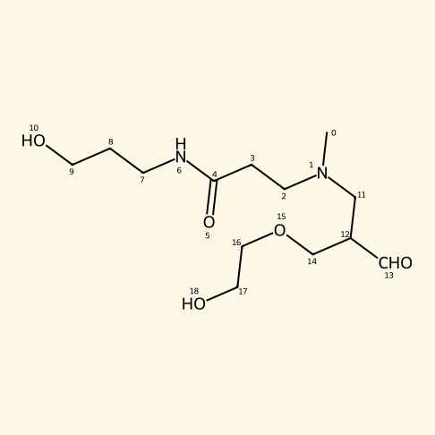 CN(CCC(=O)NCCCO)CC(C=O)COCCO